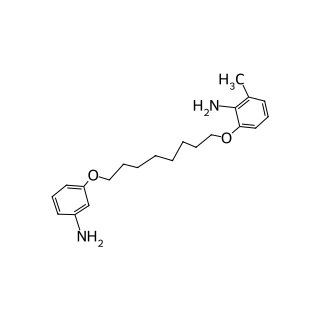 Cc1cccc(OCCCCCCCCOc2cccc(N)c2)c1N